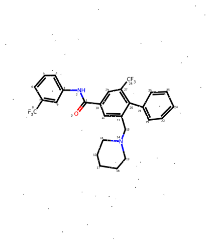 O=C(Nc1cccc(C(F)(F)F)c1)c1cc(CN2CCCCC2)c(-c2ccccc2)c(C(F)(F)F)c1